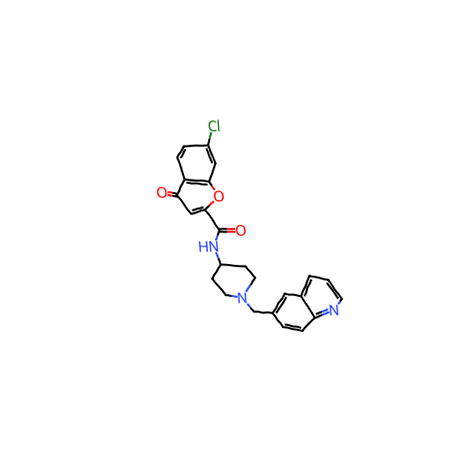 O=C(NC1CCN(Cc2ccc3ncccc3c2)CC1)c1cc(=O)c2ccc(Cl)cc2o1